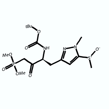 COP(=O)(CC(=O)[C@H](Cc1cc([S+](C)[O-])n(C)n1)NC(=O)OC(C)(C)C)OC